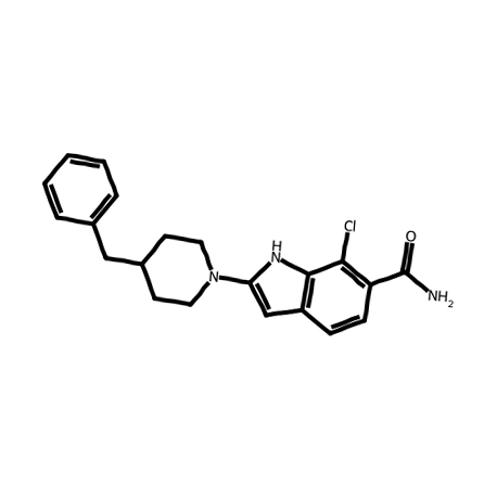 NC(=O)c1ccc2cc(N3CCC(Cc4ccccc4)CC3)[nH]c2c1Cl